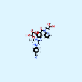 Cn1c(CNc2ccc(C#N)cc2)nc2cc(C(=O)N(CCC(=O)O)c3ccccn3)ccc21.O=C(O)C(=O)O